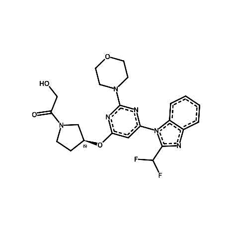 O=C(CO)N1CC[C@H](Oc2cc(-n3c(C(F)F)nc4ccccc43)nc(N3CCOCC3)n2)C1